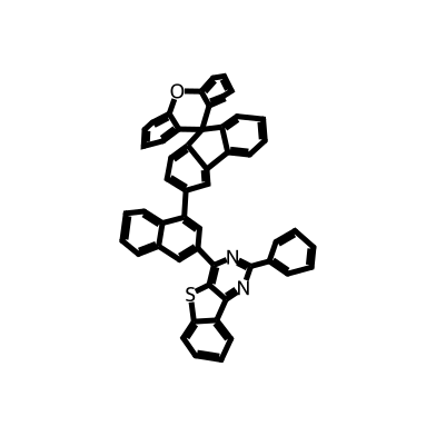 c1ccc(-c2nc(-c3cc(-c4ccc5c(c4)-c4ccccc4C54c5ccccc5Oc5ccccc54)c4ccccc4c3)c3sc4ccccc4c3n2)cc1